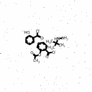 CC(=O)Oc1ccccc1C(=O)Cl.CC(C)(C)NN.Cl.O=C(Cl)c1ccccc1